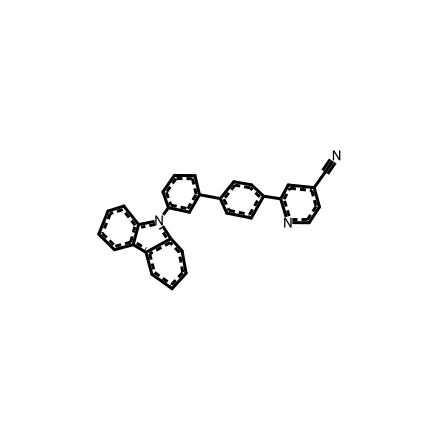 N#Cc1ccnc(-c2ccc(-c3cccc(-n4c5ccccc5c5ccccc54)c3)cc2)c1